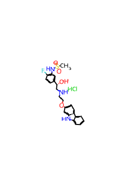 CS(=O)(=O)Nc1cc([C@H](O)CNCCOc2ccc3c(c2)[nH]c2ccccc23)ccc1F.Cl